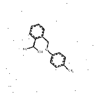 Cc1ccc(OCc2ccccc2C(O)C#N)cc1